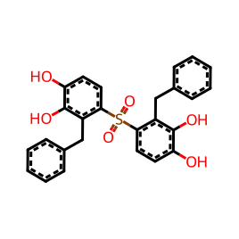 O=S(=O)(c1ccc(O)c(O)c1Cc1ccccc1)c1ccc(O)c(O)c1Cc1ccccc1